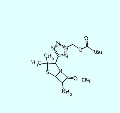 CC(C)(C)C(=O)OCn1nnc(C2N3C(=O)C(N)C3SC2(C)C)n1.Cl